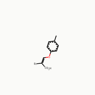 CCC(=COc1ccc(C)cc1)C(=O)O